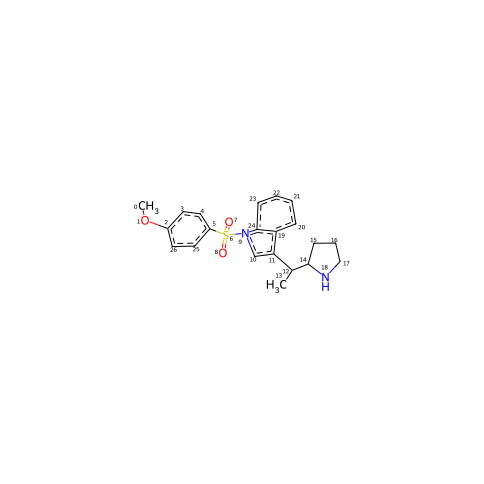 COc1ccc(S(=O)(=O)n2cc(C(C)C3CCCN3)c3ccccc32)cc1